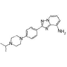 CC(C)N1CCN(c2ccc(-c3nc4c(N)cccn4n3)cc2)CC1